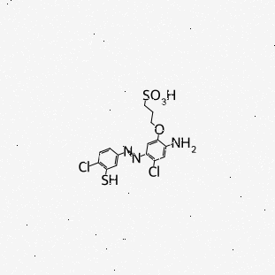 Nc1cc(Cl)c(N=Nc2ccc(Cl)c(S)c2)cc1OCCCS(=O)(=O)O